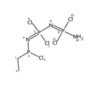 CCP(Cl)N=P(Cl)(Cl)N=P(N)(Cl)Cl